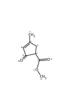 COC(=O)C1CC(C)=CC1=O